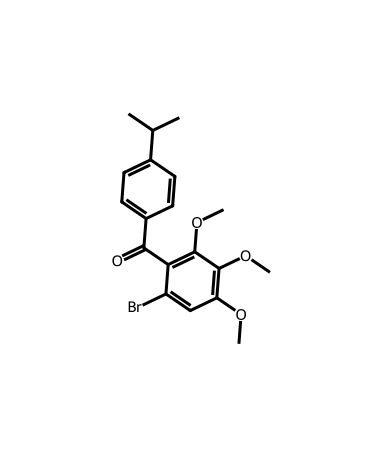 COc1cc(Br)c(C(=O)c2ccc(C(C)C)cc2)c(OC)c1OC